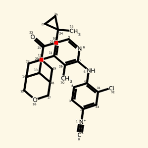 [C-]#[N+]c1ccc(Nc2ncnc(OC3C4COCC3CN(C(=O)OC3(C)CC3)C4)c2C)c(Cl)c1